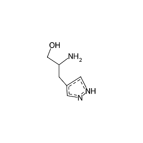 NC(CO)Cc1cn[nH]c1